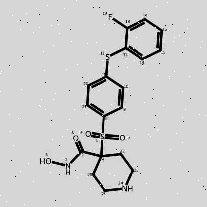 O=C(NO)C1(S(=O)(=O)c2ccc(Sc3ccccc3F)cc2)CCNCC1